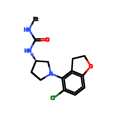 CCNC(=O)N[C@H]1CCN(c2c(Cl)ccc3c2CCO3)C1